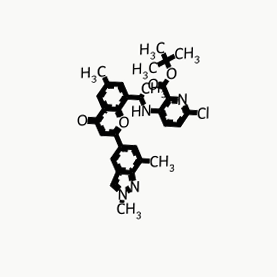 Cc1cc(C(C)Nc2ccc(Cl)nc2C(=O)OC(C)(C)C)c2oc(-c3cc(C)c4nn(C)cc4c3)cc(=O)c2c1